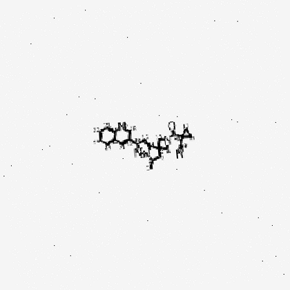 CC1CC2(CN(C(=O)C3(C#N)CC3)C2)c2cc(-c3cnc4ccccc4c3)nn21